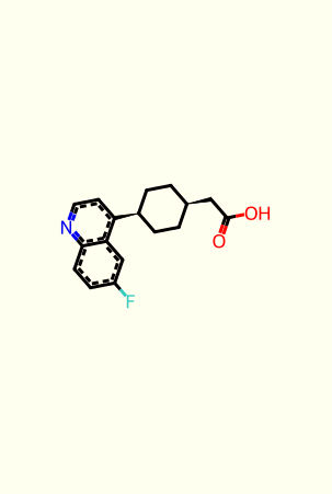 O=C(O)C[C@H]1CC[C@@H](c2ccnc3ccc(F)cc32)CC1